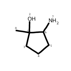 CC1(O)CCCC1N